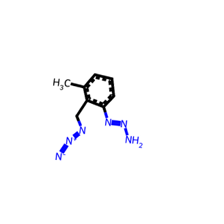 Cc1cccc(N=NN)c1CN=[N+]=[N-]